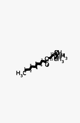 CCCCCC=CCC(=O)OCC[N+](C)(C)C